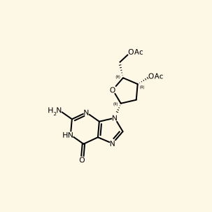 CC(=O)OC[C@H]1O[C@@H](n2cnc3c(=O)[nH]c(N)nc32)C[C@H]1OC(C)=O